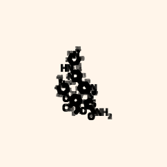 CC(Oc1cc(-n2cnc3cc(-c4ccc(NC5CCN(C)CC5)nc4)ccc32)sc1C(N)=O)c1cccc(OC2CCN(C)CC2)c1Cl